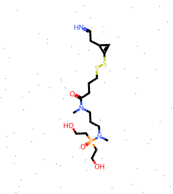 CN(CCCN(C)P(=O)(CCO)CCO)C(=O)CCCSSC1=CC1CC=N